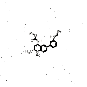 CC(=O)N1c2ccc(-c3cccc(NCC(C)C)c3)cc2[C@H](NC(=O)OC(C)C)C[C@@H]1C